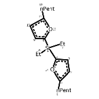 CCCCCc1ccc([Si](CC)(CC)c2ccc(CCCCC)o2)o1